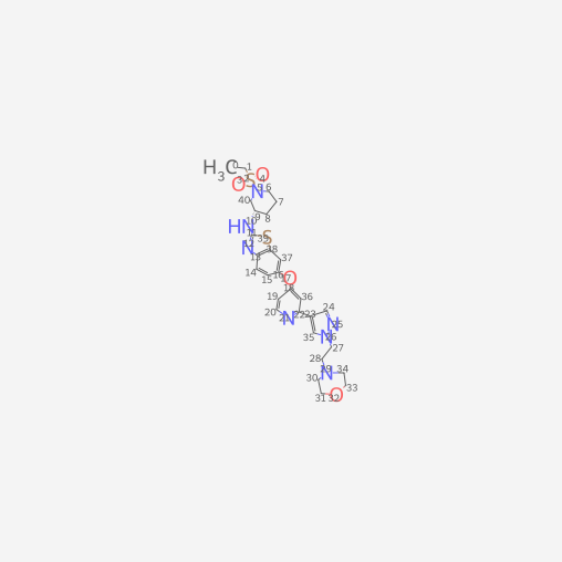 CCS(=O)(=O)N1CCC[C@H](Nc2nc3ccc(Oc4ccnc(-c5cnn(CCN6CCOCC6)c5)c4)cc3s2)C1